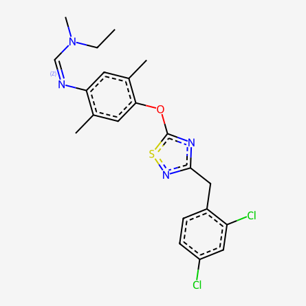 CCN(C)/C=N\c1cc(C)c(Oc2nc(Cc3ccc(Cl)cc3Cl)ns2)cc1C